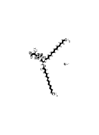 CCCCCCCCCCCCCC(=O)OC[C@H](COP(=O)(O)OC[C@H](N)C(=O)[O-])OC(=O)CCCCCCCCCCCCC.[Na+]